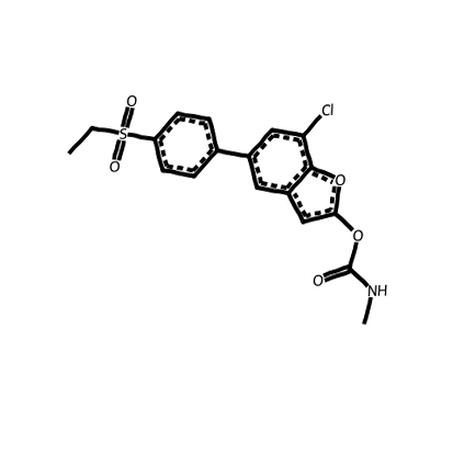 CCS(=O)(=O)c1ccc(-c2cc(Cl)c3oc(OC(=O)NC)cc3c2)cc1